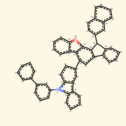 c1ccc(-c2cccc(-n3c4ccccc4c4cc(-c5cc6c(c7oc8ccccc8c57)C(c5ccc7ccccc7c5)c5ccccc5-6)ccc43)c2)cc1